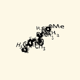 COc1cc(C)c(S(=O)(=O)N(C)Cc2cc(C(=O)N(C)Cc3ccc(C(C)N4CCCC4)cc3)co2)c(C)c1